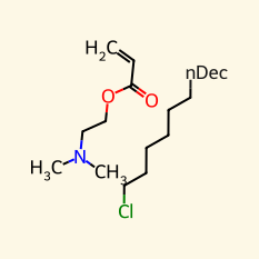 C=CC(=O)OCCN(C)C.CCCCCCCCCCCCCCCCCl